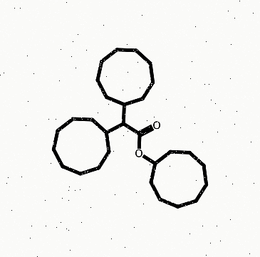 O=C(OC1CCCCCCCC1)C(C1CCCCCCCC1)C1CCCCCCCC1